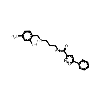 Cc1ccc(CNCCCNC(=O)c2cc(-c3ccccc3)on2)c(O)c1